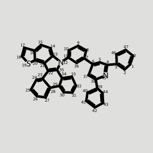 c1ccc(-c2cc(-c3cccc(-n4c5ccc6ccsc6c5c5c6ccccc6c6ccccc6c54)c3)cc(-c3ccccc3)n2)cc1